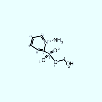 N.O=S(=O)(OCO)c1ccccn1